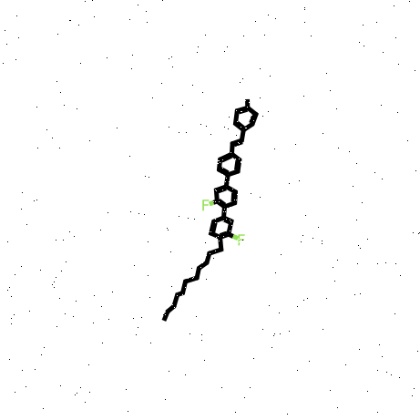 CCCCCCCCCCCc1ccc(-c2ccc(-c3ccc(C=Cc4ccc(C)cc4)cc3)cc2F)cc1F